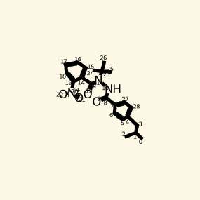 CC(C)Cc1ccc(C(=O)NN(C(=O)c2ccccc2[N+](=O)[O-])C(C)(C)C)cc1